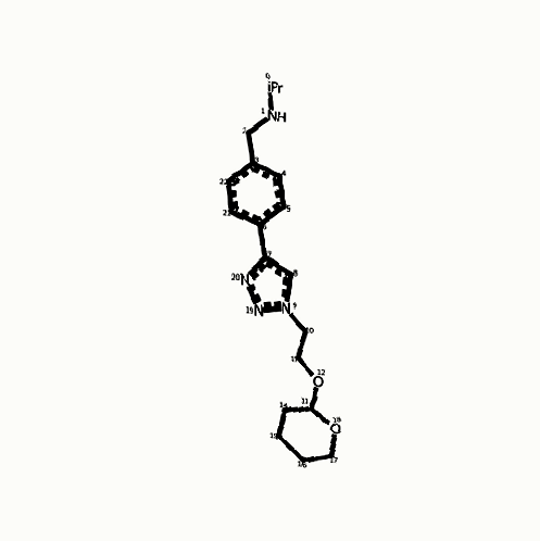 CC(C)NCc1ccc(-c2cn(CCOC3CCCCO3)nn2)cc1